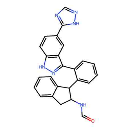 O=CNC1Cc2ccccc2C1c1ccccc1-c1n[nH]c2ccc(-c3ncn[nH]3)cc12